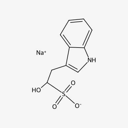 O=S(=O)([O-])C(O)Cc1c[nH]c2ccccc12.[Na+]